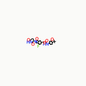 CC1(C)COc2cc(NC(=O)OCc3cc(F)c4c(c3)C(=O)N(C3CCC(=O)NC3=O)C4)ccc21